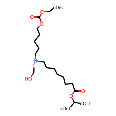 CCCCCCCCCCCOC(=O)OCCCCCN(CCO)CCCCCCCC(=O)OC(CCCCCCCC)CCCCCCCC